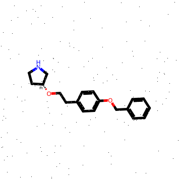 c1ccc(COc2ccc(CCO[C@@H]3CCNC3)cc2)cc1